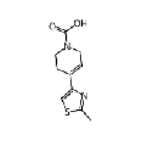 Cc1nc(C2=CCN(C(=O)O)CC2)cs1